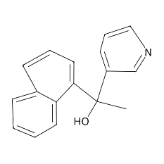 CC(O)(c1cccnc1)c1cccc2ccccc12